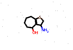 NC1CSC2=C1C(O)CCCC2